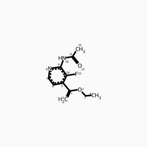 C=C(OCC)c1ccnc(NC(C)=O)c1F